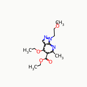 CCOC(=O)c1c(C)nc2c(cnn2CCOC)c1OCC